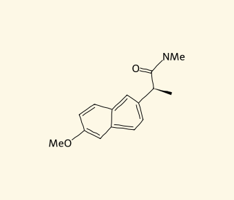 CNC(=O)[C@@H](C)c1ccc2cc(OC)ccc2c1